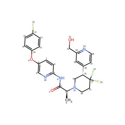 C[C@@H](C(=O)Nc1ccc(Oc2ccc(F)cc2)cn1)N1CCC(F)(F)[C@@H](c2ccnc(CO)c2)C1